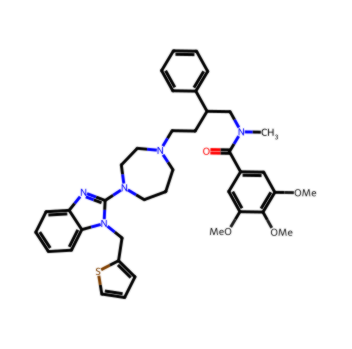 COc1cc(C(=O)N(C)CC(CCN2CCCN(c3nc4ccccc4n3Cc3cccs3)CC2)c2ccccc2)cc(OC)c1OC